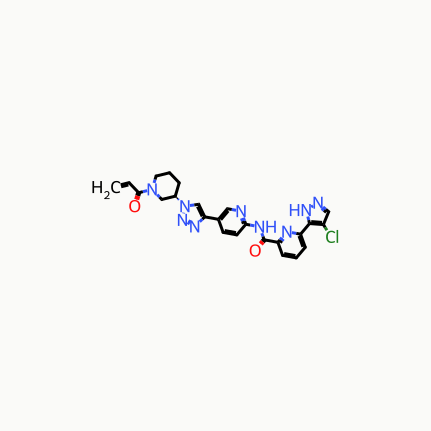 C=CC(=O)N1CCC[C@H](n2cc(-c3ccc(NC(=O)c4cccc(-c5[nH]ncc5Cl)n4)nc3)nn2)C1